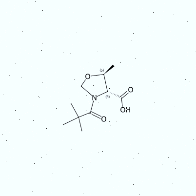 C[C@@H]1OCN(C(=O)C(C)(C)C)[C@H]1C(=O)O